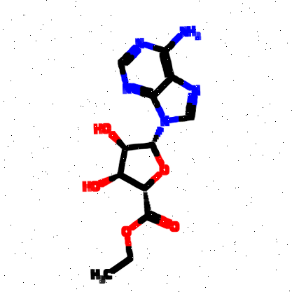 CCOC(=O)[C@H]1O[C@@H](n2cnc3c(N)ncnc32)[C@H](O)[C@@H]1O